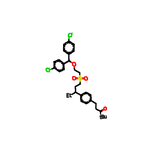 CCC(CCS(=O)(=O)CCOC(c1ccc(Cl)cc1)c1ccc(Cl)cc1)c1ccc(CCC(=O)C(C)(C)C)cc1